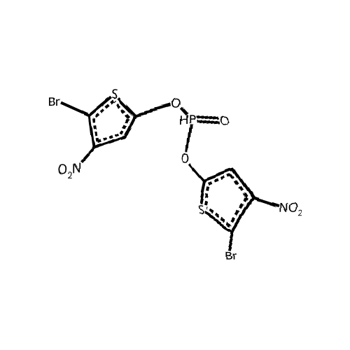 O=[N+]([O-])c1cc(O[PH](=O)Oc2cc([N+](=O)[O-])c(Br)s2)sc1Br